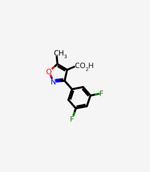 Cc1onc(-c2cc(F)cc(F)c2)c1C(=O)O